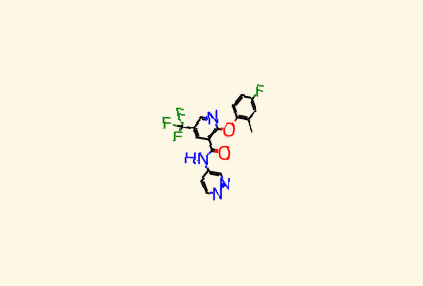 Cc1cc(F)ccc1Oc1ncc(C(F)(F)F)cc1C(=O)Nc1ccnnc1